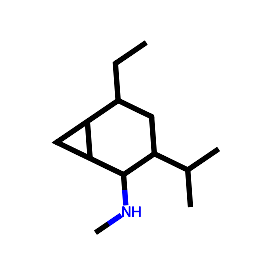 CCC1CC(C(C)C)C(NC)C2CC12